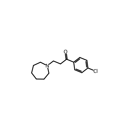 O=C(CCN1CCCCCC1)c1ccc(Cl)cc1